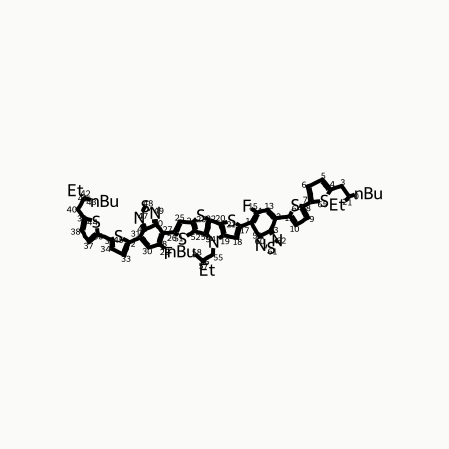 CCCCC(CC)Cc1ccc(-c2ccc(-c3cc(F)c(-c4cc5c(s4)c4sc6cc(-c7c(F)cc(-c8ccc(-c9ccc(CC(CC)CCCC)s9)s8)c8nsnc78)sc6c4n5CC(CC)CCCC)c4nsnc34)s2)s1